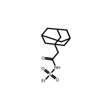 CCS(=O)(=O)NC(=O)CC12CC3CC(CC(C3)C1)C2